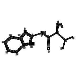 CC(C)[C@H](N)C(=O)Nc1nc2ccccc2[nH]1